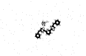 [Cl-].[Cl-].[Fe+2].c1ccc(CC2COC(c3cccc(C4=NC(Cc5ccccc5)CO4)n3)=N2)cc1